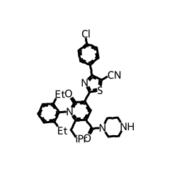 CCc1cccc(CC)c1-n1c(CC(C)C)c(C(=O)N2CCNCC2)cc(-c2nc(-c3ccc(Cl)cc3)c(C#N)s2)c1=O